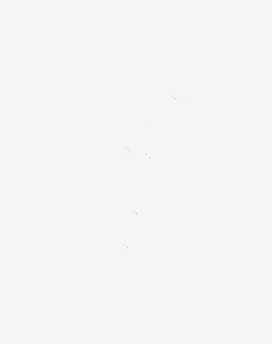 Cl.N#Cc1ccc(Cn2cc(CN)cn2)cn1